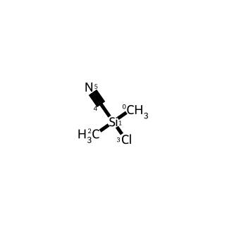 C[Si](C)(Cl)C#N